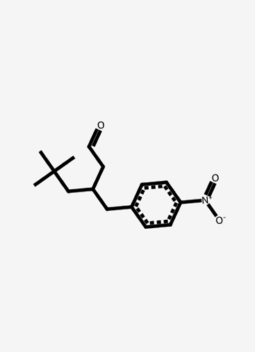 CC(C)(C)CC(CC=O)Cc1ccc([N+](=O)[O-])cc1